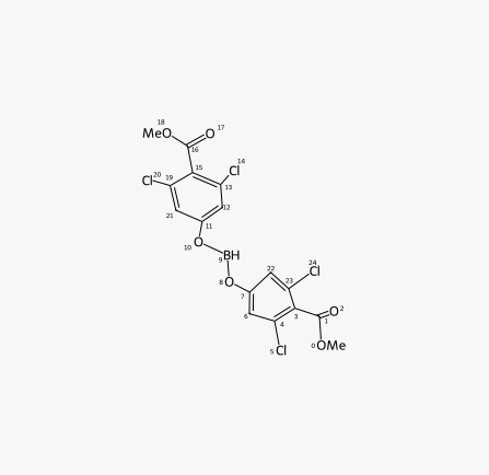 COC(=O)c1c(Cl)cc(OBOc2cc(Cl)c(C(=O)OC)c(Cl)c2)cc1Cl